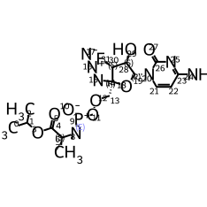 CC(C)OC(=O)[C@H](C)/N=[P+](\[O-])OOC[C@@]1(N=[N+]=[N-])O[C@@H](n2ccc(N)nc2=O)[C@H](O)[C@@H]1F